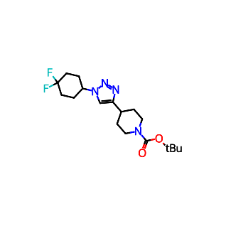 CC(C)(C)OC(=O)N1CCC(c2cn(C3CCC(F)(F)CC3)nn2)CC1